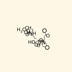 CC(C)(C)OC(=O)NCCCC[C@H](NC(=O)[C@@H]1Cc2ccccc2CN1C(=O)CCC(=O)c1ccccc1)C(=O)O